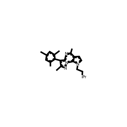 Cc1cc(C)c(-c2c(C)nn3c2nc(C)c2ccn(CCC(C)C)c23)c(C)c1